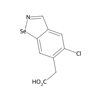 O=C(O)Cc1cc2[se]ncc2cc1Cl